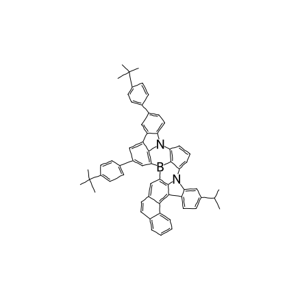 CC(C)c1ccc2c3c4c(ccc5ccccc54)cc4c3n(c2c1)-c1cccc2c1B4c1cc(-c3ccc(C(C)(C)C)cc3)cc3c4cc(-c5ccc(C(C)(C)C)cc5)ccc4n-2c13